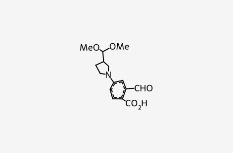 COC(OC)C1CCN(c2ccc(C(=O)O)c(C=O)c2)C1